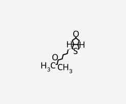 CC(C)C(=O)CCCC[C@H]1SC[C@H]2CC(=O)C[C@H]21